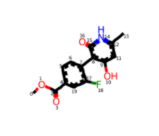 COC(=O)c1ccc(-c2c(O)cc(C)[nH]c2=O)c(F)c1